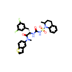 CC1CCc2ccccc2N1S(=O)(=O)NC(=O)N[C@@H](Cc1cc(F)cc(F)c1)C(=O)N(C)c1ccc2sccc2c1